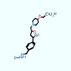 CCNN=Cc1ccc(C2CC(CN3CCC(OCC(=O)O)CC3)ON2)cc1